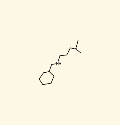 CN(C)CCCNCC1CCCCC1